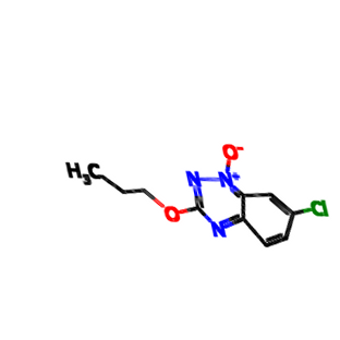 CCCOc1nc2ccc(Cl)cc2[n+]([O-])n1